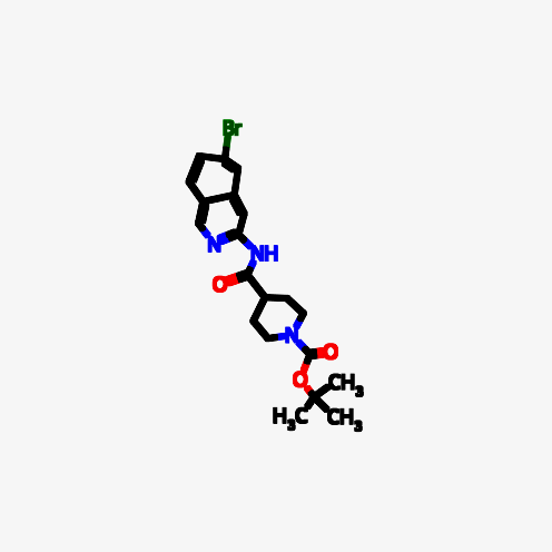 CC(C)(C)OC(=O)N1CCC(C(=O)Nc2cc3cc(Br)ccc3cn2)CC1